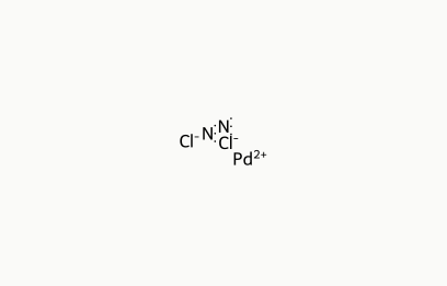 [Cl-].[Cl-].[N].[N].[Pd+2]